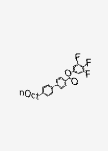 CCCCCCCCc1ccc(-c2ccc(C(=O)Oc3cc(F)c(F)c(F)c3)cc2)cc1